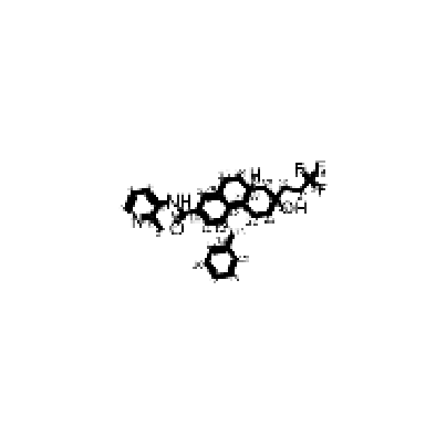 Cc1ncccc1NC(=O)C1=C[C@@H](Cc2ccccc2)C2=C3CC[C@@](O)(CCC(F)(F)F)C[C@H]3CCC2=C1